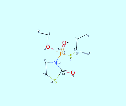 CCO[P@](=O)(S[C@@H](C)CC)N1CCSC1=O